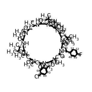 CCC(C)[C@@H]1NC(=O)[C@H](C)N(C)C(=O)C[C@@H](C)NC(=O)[C@H](CC(C)C)N(C)C(=O)C(C)(C)NC(=O)[C@H](CC(C)C)N(C)C(=O)[C@H](CCc2ccc(F)cc2)NC(=O)CN(C)C(=O)[C@H](Cc2ccc(Cl)cc2)N(C)C(=O)CN(C)C(=O)CN(C)C1=O